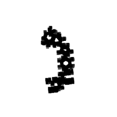 CC1(C)CCC(C)(C)c2cc(C3=CCC(C4CCC(NC[C@H](O)[C@@H](N)CO)CC4)=C3)ccc21